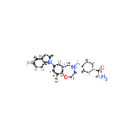 NC(=O)[C@H]1CC[C@H](CN2CCOc3c(Cl)cc(-n4ccc5cc(F)ccc54)cc3C2)CC1